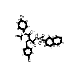 CC(C)N(C(=O)C(Cc1ccc(Cl)cc1)C(=O)NS(=O)(=O)c1ccc2ccccc2c1)c1ccc(F)cc1